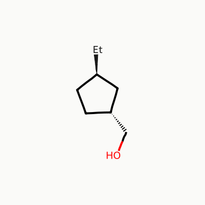 CC[C@@H]1CC[C@@H](CO)C1